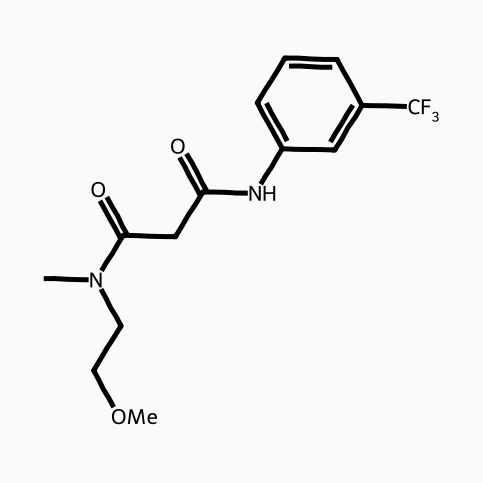 COCCN(C)C(=O)CC(=O)Nc1cccc(C(F)(F)F)c1